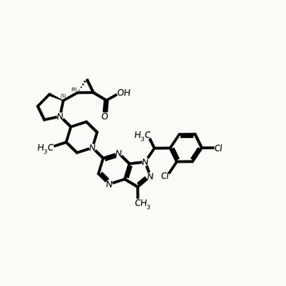 Cc1nn(C(C)c2ccc(Cl)cc2Cl)c2nc(N3CCC(N4CCC[C@H]4[C@@H]4CC4C(=O)O)C(C)C3)cnc12